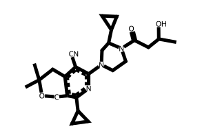 CC(O)CC(=O)N1CCN(c2nc(C3CC3)c3c(c2C#N)CC(C)(C)OC3)CC1C1CC1